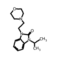 CC(C)n1c(=O)n(CCN2CCOCC2)c2ccccc21